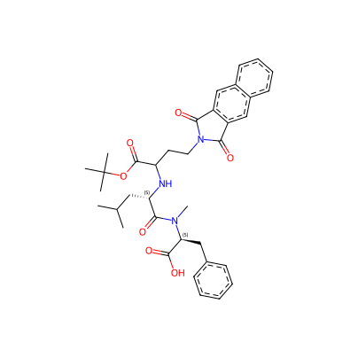 CC(C)C[C@H](NC(CCN1C(=O)c2cc3ccccc3cc2C1=O)C(=O)OC(C)(C)C)C(=O)N(C)[C@@H](Cc1ccccc1)C(=O)O